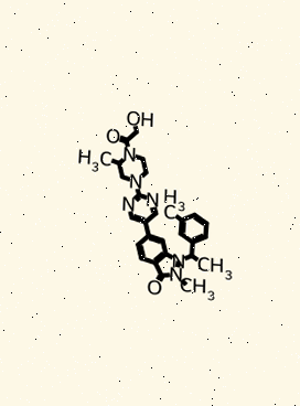 Cc1cccc(C(C)n2c3cc(-c4cnc(N5CCN(C(=O)CO)C(C)C5)nc4)ccc3c(=O)n2C)c1